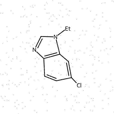 CCn1cnc2ccc(Cl)cc21